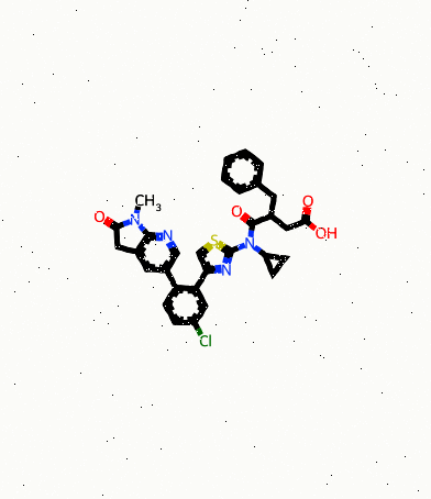 CN1C(=O)Cc2cc(-c3ccc(Cl)cc3-c3csc(N(C(=O)C(CC(=O)O)Cc4ccccc4)C4CC4)n3)cnc21